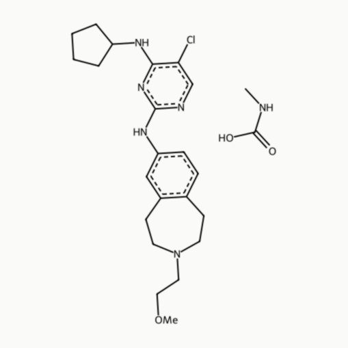 CNC(=O)O.COCCN1CCc2ccc(Nc3ncc(Cl)c(NC4CCCC4)n3)cc2CC1